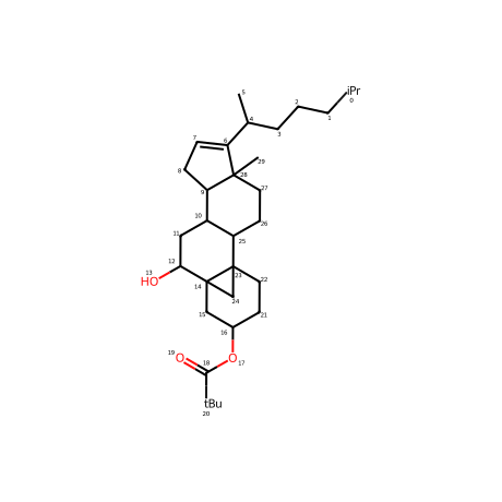 CC(C)CCCC(C)C1=CCC2C3CC(O)C45CC(OC(=O)C(C)(C)C)CCC4(C5)C3CCC12C